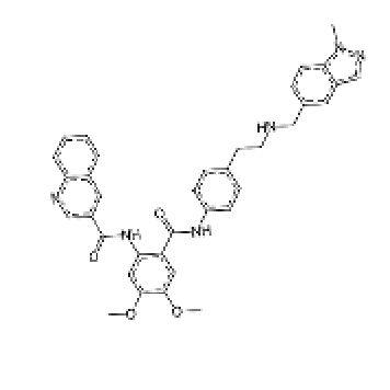 COc1cc(NC(=O)c2cnc3ccccc3c2)c(C(=O)Nc2ccc(CCNCc3ccc4c(cnn4C)c3)cc2)cc1OC